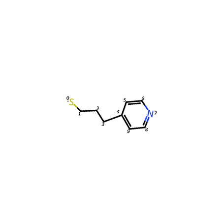 [S]CCCc1ccncc1